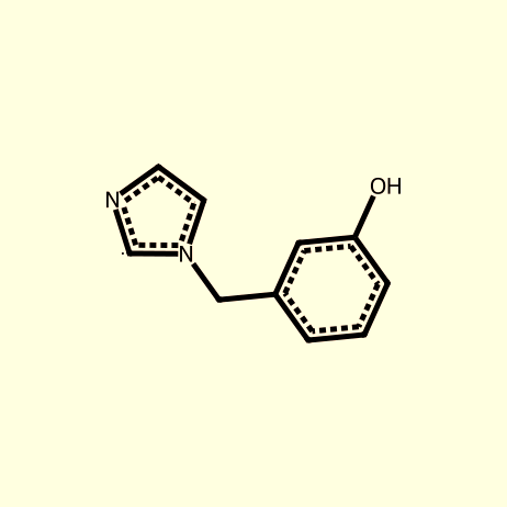 Oc1cccc(Cn2[c]ncc2)c1